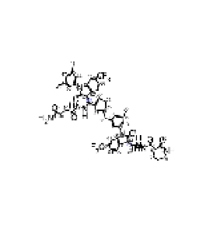 C/C(NNC(=O)C1CCCNC1=O)=C1/C(=O)N(c2cc(C)cc(Cc3cccc(/C(NNC(=O)CCC(N)=O)=C4/C(=O)N(c5cc(C)cc(C)c5)c5cc(C(F)(F)F)ccc54)c3)c2)c2cc(C(F)(F)F)ccc21